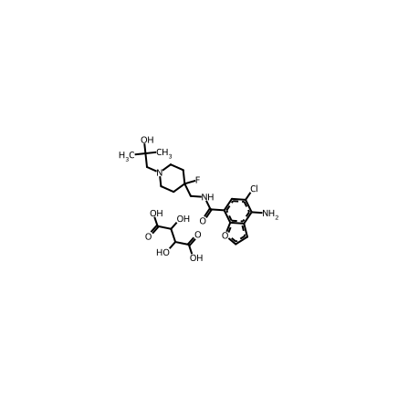 CC(C)(O)CN1CCC(F)(CNC(=O)c2cc(Cl)c(N)c3ccoc23)CC1.O=C(O)C(O)C(O)C(=O)O